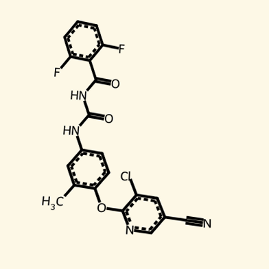 Cc1cc(NC(=O)NC(=O)c2c(F)cccc2F)ccc1Oc1ncc(C#N)cc1Cl